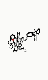 COC1OCC[C@@H]1N(C(=O)[C@@H](NC(=O)COc1ccc2c(c1)Nc1ccccc1S2)c1ccccc1)[C@@H](CC(C)C)C(N)=O